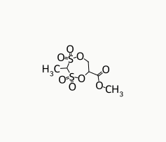 COC(=O)C1COS(=O)(=O)C(C)S(=O)(=O)O1